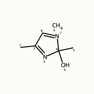 C.CC1=NC(C)(O)N=C1